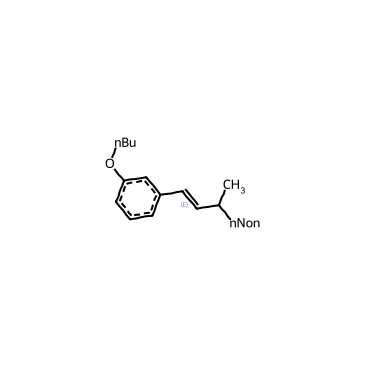 CCCCCCCCCC(C)/C=C/c1cccc(OCCCC)c1